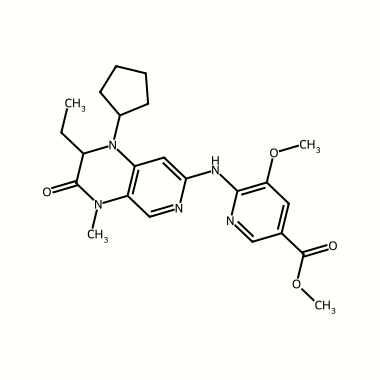 CCC1C(=O)N(C)c2cnc(Nc3ncc(C(=O)OC)cc3OC)cc2N1C1CCCC1